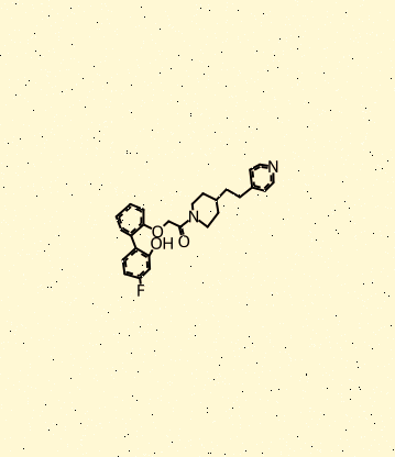 O=C(COc1ccccc1-c1ccc(F)cc1O)N1CCC(CCc2ccncc2)CC1